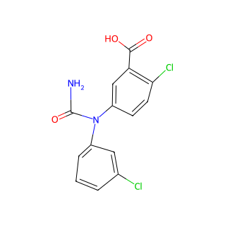 NC(=O)N(c1cccc(Cl)c1)c1ccc(Cl)c(C(=O)O)c1